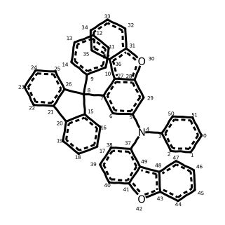 c1ccc(N(c2cc(C3(c4ccccc4)c4ccccc4-c4ccccc43)c3c(c2)oc2ccccc23)c2cccc3oc4ccccc4c23)cc1